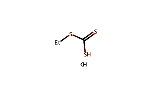 CCSC(=S)S.[KH]